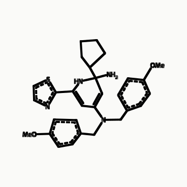 COc1ccc(CN(Cc2ccc(OC)cc2)C2=CC(N)(C3CCCC3)NC(c3nccs3)=C2)cc1